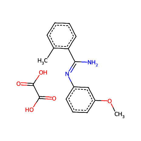 COc1cccc(N=C(N)c2ccccc2C)c1.O=C(O)C(=O)O